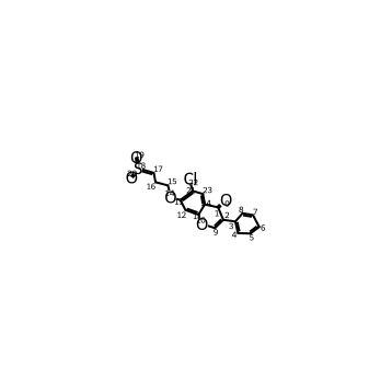 O=c1c(-c2ccccc2)coc2cc(OCCC=S(=O)=O)c(Cl)cc12